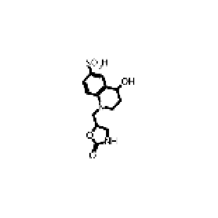 O=C1NCC(CN2CCC(O)c3cc(S(=O)(=O)O)ccc32)O1